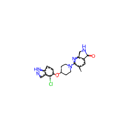 Cc1cc2c(nc1N1CCC(Oc3ccc4[nH]ncc4c3Cl)CC1)CNC2=O